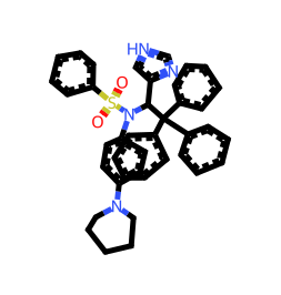 O=S(=O)(c1ccccc1)N(c1ccc(N2CCCCC2)cc1)C(c1c[nH]cn1)C(c1ccccc1)(c1ccccc1)c1ccccc1